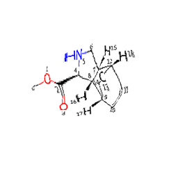 COC(=O)[C@H]1NC[C@H]2[C@@H]1[C@H]1C=C[C@@H]2CC1